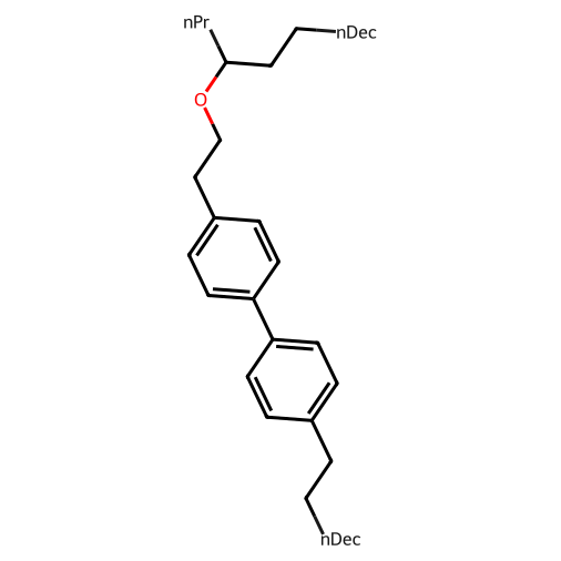 CCCCCCCCCCCCc1ccc(-c2ccc(CCOC(CCC)CCCCCCCCCCCC)cc2)cc1